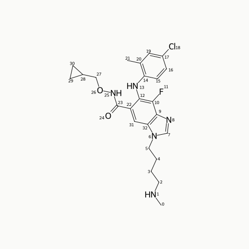 CNCCCCn1cnc2c(F)c(Nc3ccc(Cl)cc3C)c(C(=O)NOCC3CC3)cc21